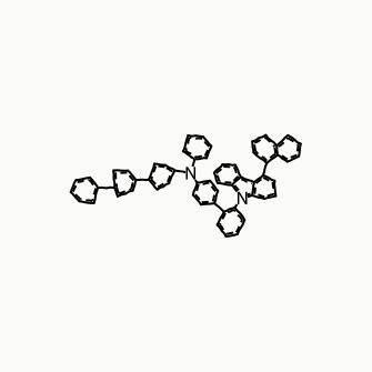 c1ccc(-c2ccc(-c3ccc(N(c4ccccc4)c4ccc(-c5ccccc5-n5c6ccccc6c6c(-c7cccc8ccccc78)cccc65)cc4)cc3)cc2)cc1